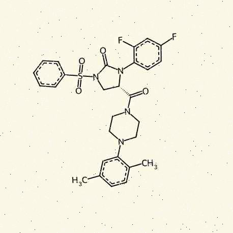 Cc1ccc(C)c(N2CCN(C(=O)[C@@H]3CN(S(=O)(=O)c4ccccc4)C(=O)N3c3ccc(F)cc3F)CC2)c1